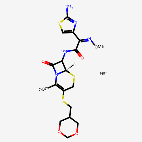 CO/N=C(\C(=O)NC1C(=O)N2C(C(=O)[O-])=C(SCC3COCOC3)CS[C@H]12)c1csc(N)n1.[Na+]